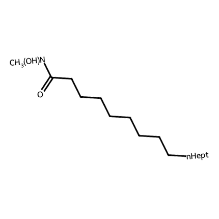 CCCCCCCCCCCCCCCC(=O)N(C)O